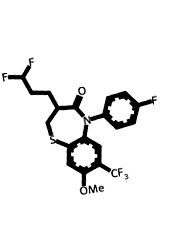 COc1cc2c(cc1C(F)(F)F)N(c1ccc(F)cc1)C(=O)C(CCC(F)F)CS2